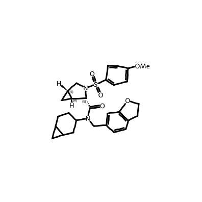 COc1ccc(S(=O)(=O)N2C[C@H]3C[C@H]3[C@H]2C(=O)N(Cc2ccc3c(c2)OCC3)C2CCC3CC3C2)cc1